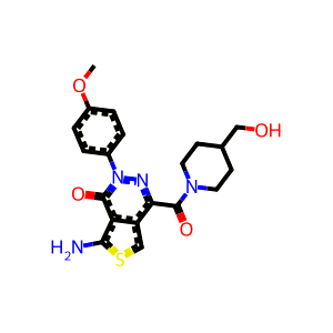 COc1ccc(-n2nc(C(=O)N3CCC(CO)CC3)c3csc(N)c3c2=O)cc1